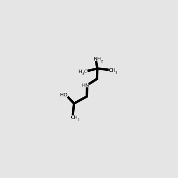 CC(O)CNCC(C)(C)N